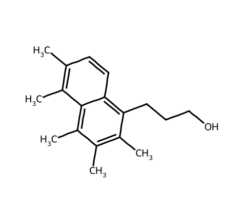 Cc1ccc2c(CCCO)c(C)c(C)c(C)c2c1C